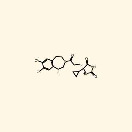 C[C@H]1CN(C(=O)CC[C@@]2(C3CC3)NC(=O)NC2=O)CCc2cc(Cl)c(Cl)cc21